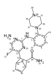 Cc1cccc(Nc2ncc(F)c(C3C4C=CC(C4)C3C(N)=O)n2)c1N1CCN(C)CC1.N